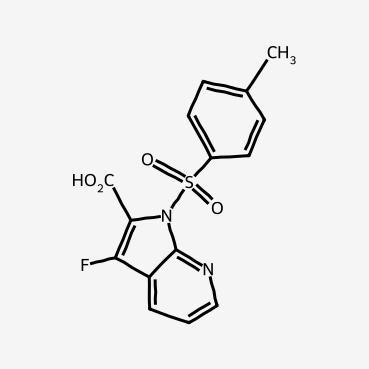 Cc1ccc(S(=O)(=O)n2c(C(=O)O)c(F)c3cccnc32)cc1